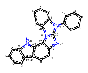 c1ccc(-n2c3ccccc3n3c4c(ccc5c6ccccc6[nH]c54)nc23)cc1